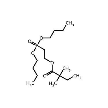 CCCCOP(=O)(CCOC(=O)C(C)(C)CC)OCCCC